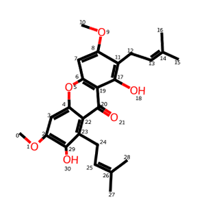 COc1cc2oc3cc(OC)c(CC=C(C)C)c(O)c3c(=O)c2c(CC=C(C)C)c1O